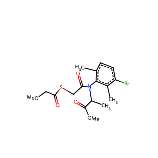 COCC(=O)SCC(=O)N(c1c(C)ccc(Br)c1C)C(C)C(=O)OC